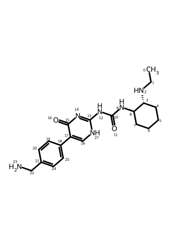 CCN[C@@H]1CCCCC1NC(=O)Nc1nc(=O)c(-c2ccc(CN)cc2)c[nH]1